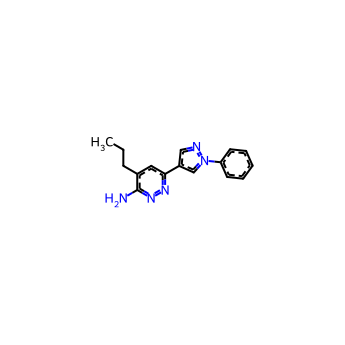 CCCc1cc(-c2cnn(-c3ccccc3)c2)nnc1N